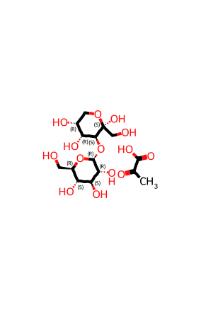 CC(=O)C(=O)O.OC[C@H]1O[C@H](O[C@H]2[C@H](O)[C@H](O)CO[C@@]2(O)CO)[C@H](O)[C@@H](O)[C@@H]1O